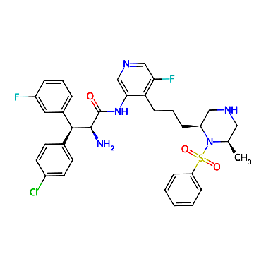 C[C@@H]1CNC[C@H](CCCc2c(F)cncc2NC(=O)[C@@H](N)[C@@H](c2ccc(Cl)cc2)c2cccc(F)c2)N1S(=O)(=O)c1ccccc1